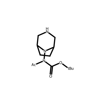 CC(=O)N(C(=O)OC(C)(C)C)N1C2CCC1CNC2